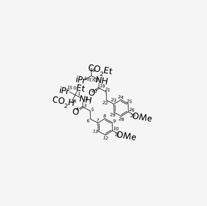 CCC(NC(=O)CCc1ccc(OC)cc1)(C(=O)O)C(C)C.CCOC(=O)C(NC(=O)CCc1ccc(OC)cc1)C(C)C